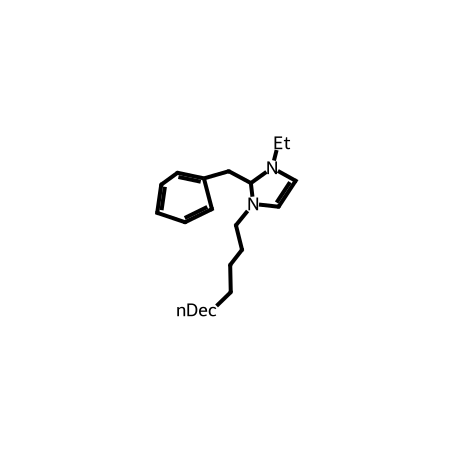 CCCCCCCCCCCCCCN1C=CN(CC)C1Cc1ccccc1